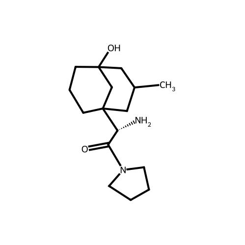 CC1CC2(O)CCCC([C@H](N)C(=O)N3CCCC3)(C1)C2